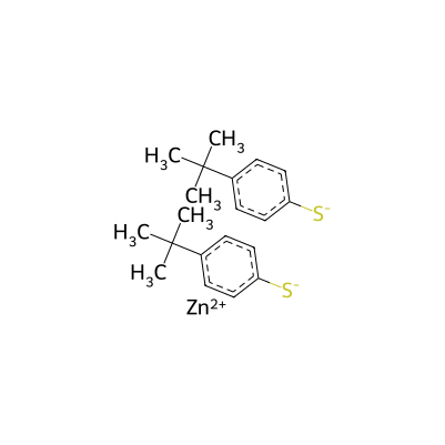 CC(C)(C)c1ccc([S-])cc1.CC(C)(C)c1ccc([S-])cc1.[Zn+2]